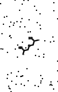 [CH2]C(O)COCC([CH2])O